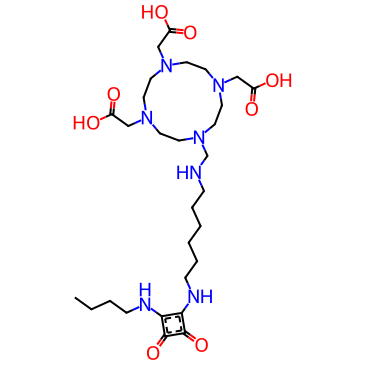 CCCCNc1c(NCCCCCCNCN2CCN(CC(=O)O)CCN(CC(=O)O)CCN(CC(=O)O)CC2)c(=O)c1=O